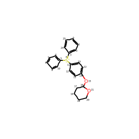 c1ccc([S+](c2ccccc2)c2ccc(OC3CCCCO3)cc2)cc1